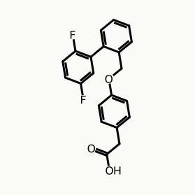 O=C(O)Cc1ccc(OCc2ccccc2-c2cc(F)ccc2F)cc1